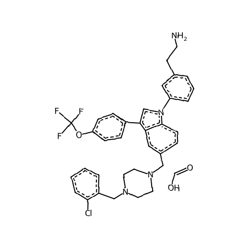 NCCc1cccc(-n2cc(-c3ccc(OC(F)(F)F)cc3)c3cc(CN4CCN(Cc5ccccc5Cl)CC4)ccc32)c1.O=CO